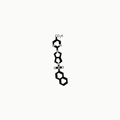 O=C(O)c1cnc(N2CC3=CN(S(=O)(=O)c4ccc5ccccc5c4)CC3C2)nc1